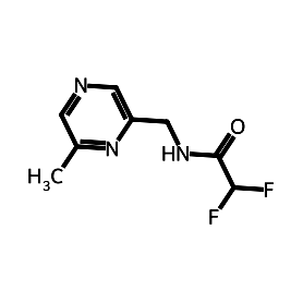 Cc1cncc(CNC(=O)C(F)F)n1